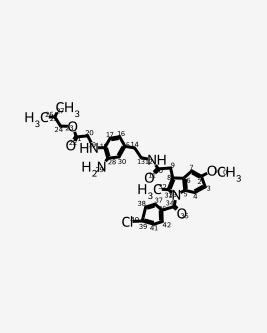 COc1ccc2c(c1)c(CC(=O)NCCc1ccc(NCC(=O)OCC(C)C)c(N)c1)c(C)n2C(=O)c1ccc(Cl)cc1